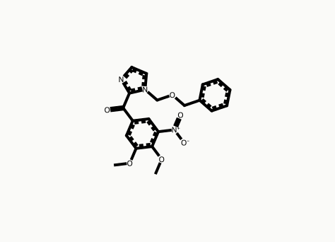 COc1cc(C(=O)c2nccn2COCc2ccccc2)cc([N+](=O)[O-])c1OC